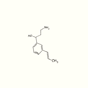 C/C=C/c1cccc(C(O)CCN)c1